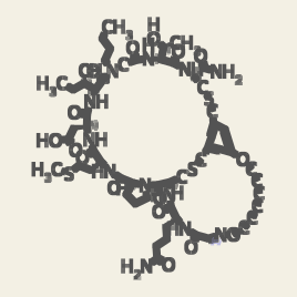 CCCCN1CC(=O)N[C@@H]([C@@H](C)O)C(=O)N[C@H](C(N)=O)CSCc2cc3cc(c2)OCCCCCCO/N=C/C(=O)N[C@@H](CCCC(N)=O)C(=O)N[C@@H](CSC3)C(=O)N2CCC[C@H]2C(=O)N[C@@H](CCSC)C(=O)N[C@@H](CC(=O)O)C(=O)N[C@@H]([C@@H](C)CC)C1=O